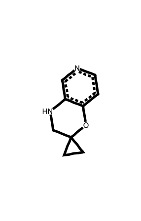 c1cc2c(cn1)NCC1(CC1)O2